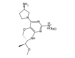 CO[C@@H](C)[C@@H]1COc2c(nc(N)nc2N2CC[C@@H](N)C2)N1.Cl.Cl